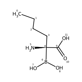 CCCC[C@@](N)(B(O)O)C(=O)O